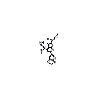 CN/C(=C\C=N)c1cc(-c2cnc3c(c2)OCCN3)nc2sc(N(O)CCOC)c(C)c12